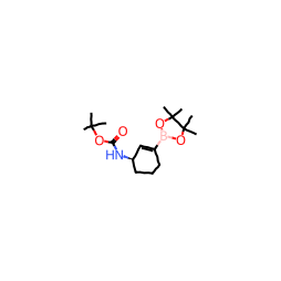 CC(C)(C)OC(=O)N[C@H]1C=C(B2OC(C)(C)C(C)(C)O2)CCC1